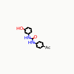 CC(=O)c1ccc(NC(=O)Nc2cccc(O)c2)cc1